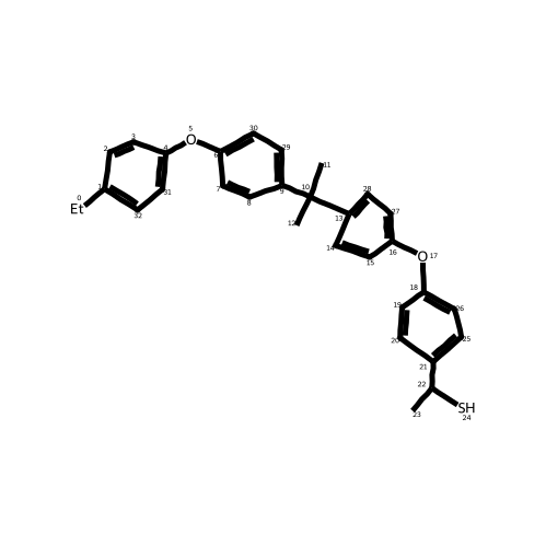 CCc1ccc(Oc2ccc(C(C)(C)c3ccc(Oc4ccc(C(C)S)cc4)cc3)cc2)cc1